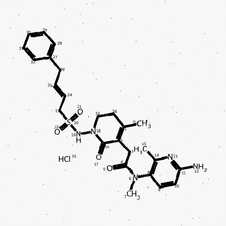 CC1=C(CC(=O)N(C)c2ccc(N)nc2C)C(=O)N(NS(=O)(=O)CC=CCc2ccccc2)CC1.Cl